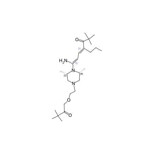 CCC/C(=C\C=C(/N)N1[C@H](C)CN(CCOCC(=O)C(C)(C)C)C[C@@H]1C)C(=O)C(C)(C)C